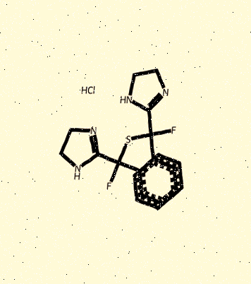 Cl.FC(SC(F)(C1=NCCN1)c1ccccc1)(C1=NCCN1)c1ccccc1